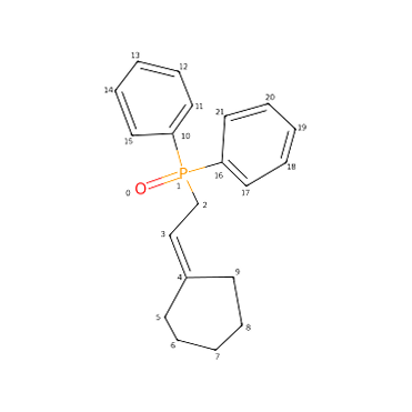 O=P(CC=C1CCCCC1)(c1ccccc1)c1ccccc1